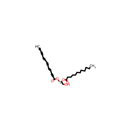 C#CC#CC#CC#CC#CC#CC(=O)OC[C@@H](CO)OC(=O)CCCCCCCCCCC